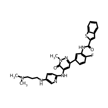 CN(C)CCCNc1ccc(Nc2cc(-c3ccc(F)c(NC(=O)c4cc5ccccc5s4)c3)nn(C)c2=O)nc1